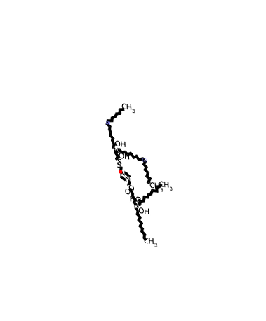 CCCCCCCC/C=C\CCCCCC[C@H](O)CN(CCCSSCCN1CCN(CCOC(=O)CCCCN(CC(O)CCCCCCCCCC)CC(O)CCCCCCCCCC)CC1)C[C@@H](O)CCCCCC/C=C\CCCCCCCC